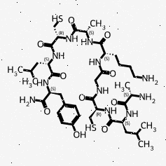 CC(C)C[C@H](NC(=O)[C@H](C)N)C(=O)N[C@@H](CS)C(=O)NCC(=O)N[C@@H](CCCCN)C(=O)N[C@@H](C)C(=O)N[C@@H](CS)C(=O)N[C@@H](CC(C)C)C(=O)N[C@@H](Cc1ccc(O)cc1)C(N)=O